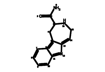 NC(=O)C1CC2=c3ccccc3=NC2=CCN1